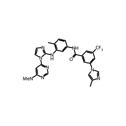 CNc1cc(-n2ccnc2Nc2cc(NC(=O)c3cc(-n4cnc(C)c4)cc(C(F)(F)F)c3)ccc2C)ncn1